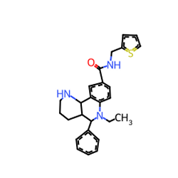 CCN1c2ccc(C(=O)NCc3cccs3)cc2C2NCCCC2C1c1ccccc1